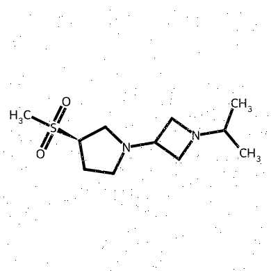 CC(C)N1CC(N2CC[C@@H](S(C)(=O)=O)C2)C1